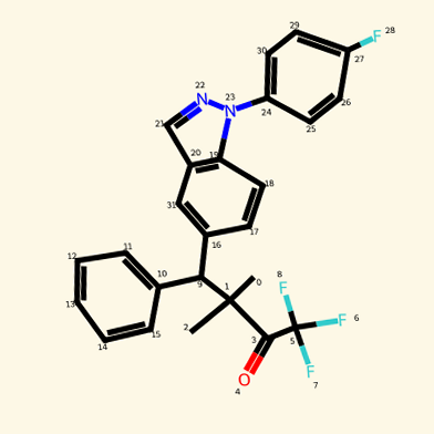 CC(C)(C(=O)C(F)(F)F)C(c1ccccc1)c1ccc2c(cnn2-c2ccc(F)cc2)c1